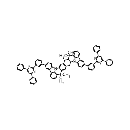 CC1(C)c2cc3c(cc2-n2c4ccc(-c5cccc(-c6nc(-c7ccccc7)cc(-c7ccccc7)n6)c5)cc4c4cccc1c42)CC1C(C3)n2c3ccc(-c4cccc(-c5nc(-c6ccccc6)cc(-c6ccccc6)n5)c4)cc3c3cccc(c32)C1(C)C